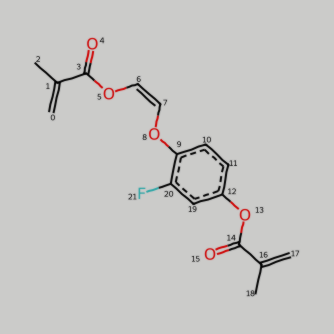 C=C(C)C(=O)O/C=C\Oc1ccc(OC(=O)C(=C)C)cc1F